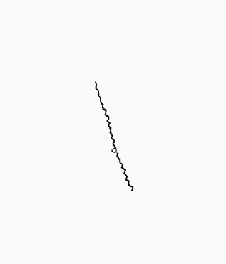 CCCCCCCCCCCCCCCCCCCCCCOCCCCCCCCCCCCCC